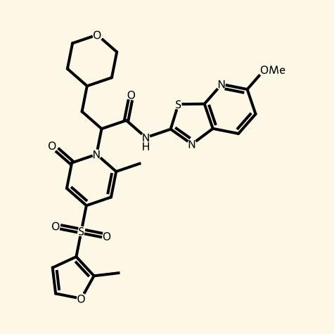 COc1ccc2nc(NC(=O)C(CC3CCOCC3)n3c(C)cc(S(=O)(=O)c4ccoc4C)cc3=O)sc2n1